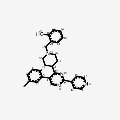 Cc1cccc(-c2cnc(-c3ccncc3)nc2C2CCN(Cc3ccccc3O)CC2)c1